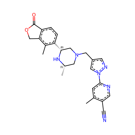 Cc1cc(-n2cc(CN3C[C@@H](c4ccc5c(c4C)COC5=O)N[C@@H](C)C3)cn2)ncc1C#N